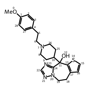 COc1ccc(CCN2CCC(C3(O)c4sccc4CCn4ncnc43)CC2)cc1